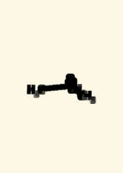 CCCCCCCCCCCCCCCC=C(C)C(CCCCCCC)N1CCC(=O)C1=O